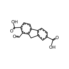 O=Cc1c(C(=O)O)ccc2c1Cc1cc(C(=O)O)ccc1-2